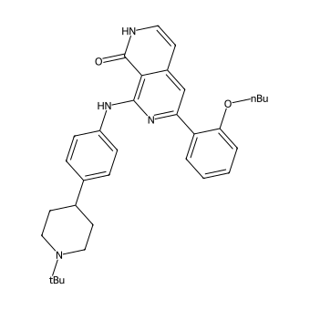 CCCCOc1ccccc1-c1cc2cc[nH]c(=O)c2c(Nc2ccc(C3CCN(C(C)(C)C)CC3)cc2)n1